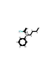 C=C(F)[SiH](CCCC)c1ccccc1